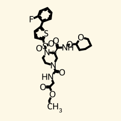 CCOC(=O)CNC(=O)N1CCN(S(=O)(=O)c2ccc(-c3ccccc3F)s2)[C@@H](C(=O)NOC2CCCCO2)C1